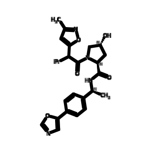 Cc1cc(C(C(=O)N2C[C@H](O)C[C@H]2C(=O)N[C@@H](C)c2ccc(-c3cnco3)cc2)C(C)C)on1